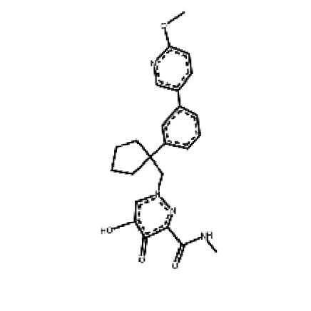 CNC(=O)c1nn(CC2(c3cccc(-c4ccc(OC)nc4)c3)CCCC2)cc(O)c1=O